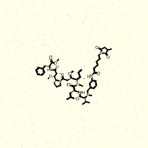 CC[C@H](C)[C@@H]([C@@H](CC(=O)N1CCC[C@H]1[C@H](OC)[C@@H](C)C(=O)N[C@@H](Cc1ccccc1)C(=O)OC)OC)N(C)C(=O)[C@H](CC(C)C)NC(=O)[C@H](C(C)C)N(C)Cc1cccc(NC(=O)CCCCCN2C(=O)CC(C)C2=O)c1